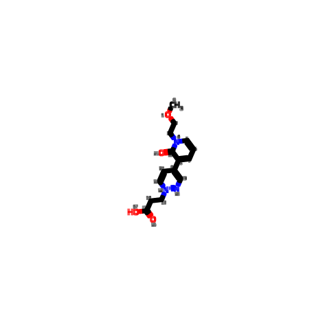 COCCn1cccc(-c2cc[n+](CCC(=O)O)nc2)c1=O